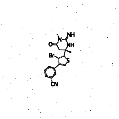 CN1C(=N)N[C@](C)(C2SC=C(c3cccc(C#N)c3)C2Br)CC1=O